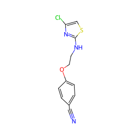 N#Cc1ccc(OCCNc2nc(Cl)cs2)cc1